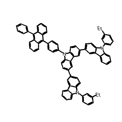 CCc1cccc(-n2c3ccccc3c3cc(-c4ccc5c(c4)c4cc(-c6ccc7c(c6)c6ccccc6n7-c6cccc(CC)c6)ccc4n5-c4ccc(-c5c6ccccc6c(-c6ccccc6)c6ccccc56)cc4)ccc32)c1